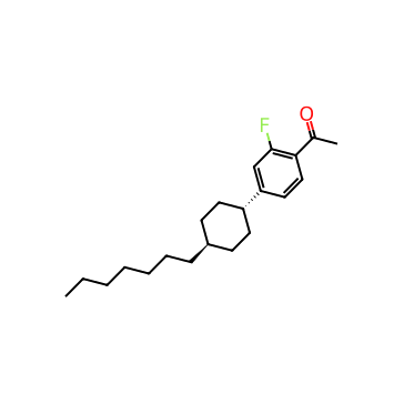 CCCCCCC[C@H]1CC[C@H](c2ccc(C(C)=O)c(F)c2)CC1